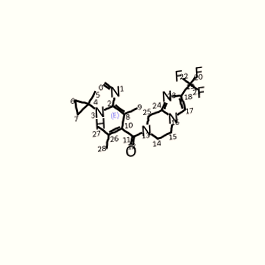 C=N/C(NC1(C)CC1)=C(\C)C(C(=O)N1CCn2cc(C(F)(F)F)nc2C1)=C(C)C